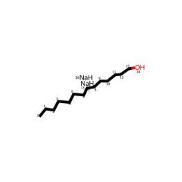 CCCCCCCCCCCCCCO.[NaH].[NaH]